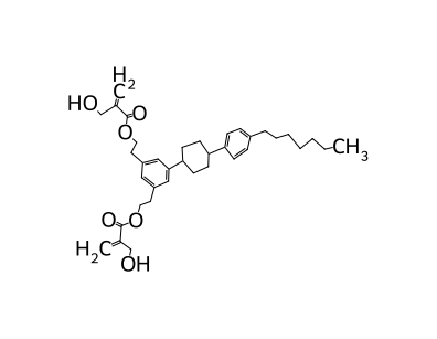 C=C(CO)C(=O)OCCc1cc(CCOC(=O)C(=C)CO)cc(C2CCC(c3ccc(CCCCCCC)cc3)CC2)c1